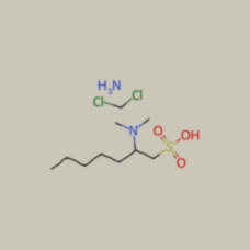 CCCCCC(CS(=O)(=O)O)N(C)C.ClCCl.N